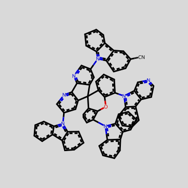 N#Cc1ccc2c(c1)c1ccccc1n2-c1cnc2c(c1)C1(c3cc(-n4c5ccccc5c5ccccc54)cnc3-2)c2cccc(-n3c4ccccc4c4ccccc43)c2Oc2c(-n3c4ccccc4c4ccncc43)cccc21